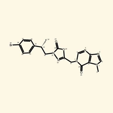 Cn1cnc2ncn(Cc3nn(C[C@@H](F)c4ccc(Br)cc4)c(=O)o3)c(=O)c21